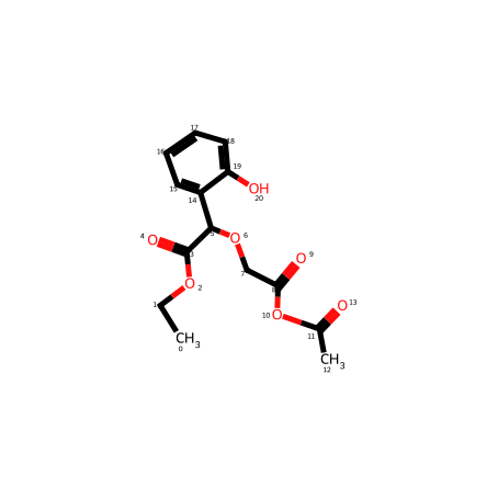 CCOC(=O)C(OCC(=O)OC(C)=O)c1ccccc1O